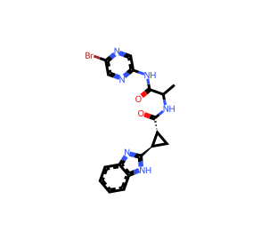 CC(NC(=O)[C@@H]1C[C@H]1c1nc2ccccc2[nH]1)C(=O)Nc1cnc(Br)cn1